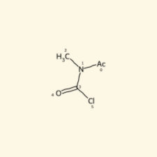 CC(=O)N(C)C(=O)Cl